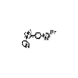 CN1O[C@](C)(c2cccnc2)C[C@@H]1c1ccc(-n2cc(Br)cn2)cc1